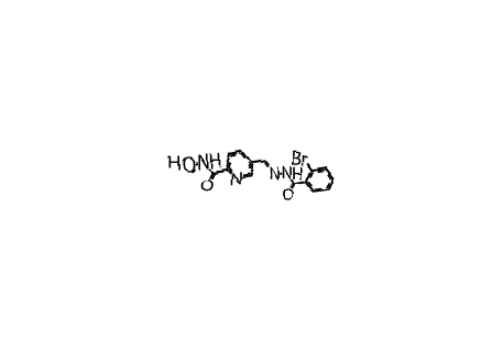 O=C(NO)c1ccc(C=NNC(=O)c2ccccc2Br)cn1